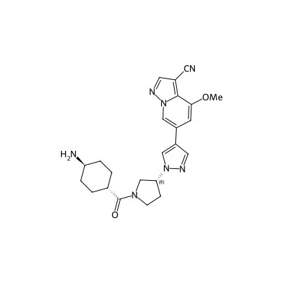 COc1cc(-c2cnn([C@@H]3CCN(C(=O)[C@H]4CC[C@H](N)CC4)C3)c2)cn2ncc(C#N)c12